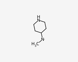 C[N]C1CCNCC1